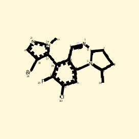 C/N=C\c1c(N2CCCC2C)cc(Cl)c(F)c1-c1c(Br)cnn1C